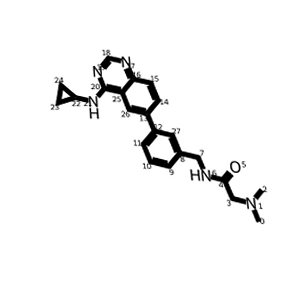 CN(C)CC(=O)NCc1cccc(-c2ccc3ncnc(NC4CC4)c3c2)c1